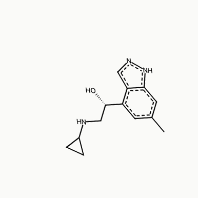 Cc1cc([C@@H](O)CNC2CC2)c2cn[nH]c2c1